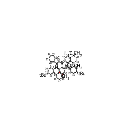 Cc1cc2c3c(c1)N(c1ccc(C(C)(C)C)cc1-c1ccccc1)c1c(sc4ccccc14)B3c1ccc3c(c1N2c1ccc(C(C)(C)C)cc1)C(C)(C)CCC3(C)C